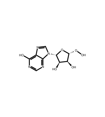 OO[C@H]1O[C@@H](n2cnc3c(O)ncnc32)[C@H](O)[C@@H]1O